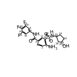 Nc1ccc(C(=O)Nc2cc(F)c(F)c(F)c2)cc1S(=O)(=O)N[C@H]1CC[C@H](O)C1